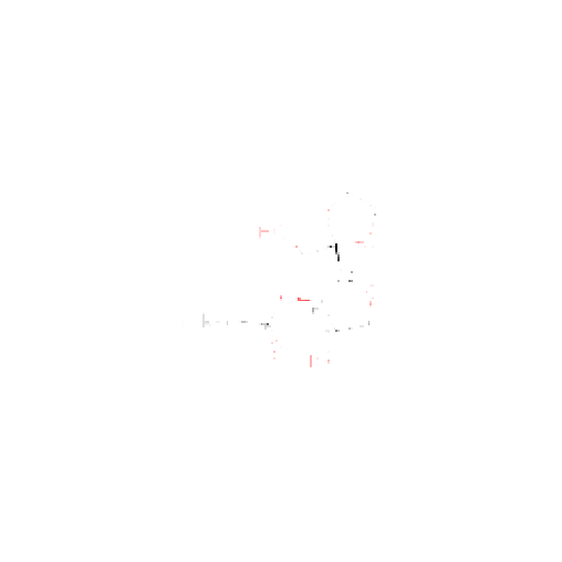 CCCCCCCC(=O)O[C@@H]1[C@@H](O)CO[C@@H]1C1(CO)OCCO1